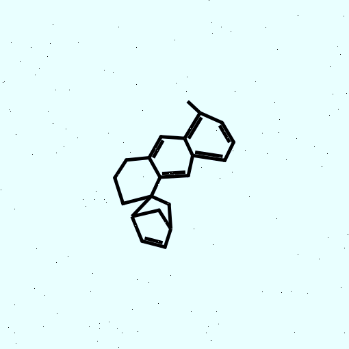 Cc1cccc2cc3c(cc12)CCCC31CC2C=CC1C2